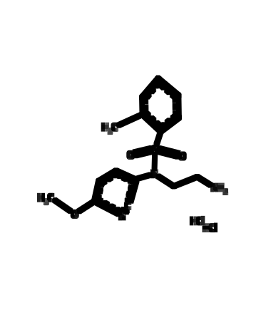 COc1ccc(N(CCN)S(=O)(=O)c2ccccc2C)cn1.Cl.Cl